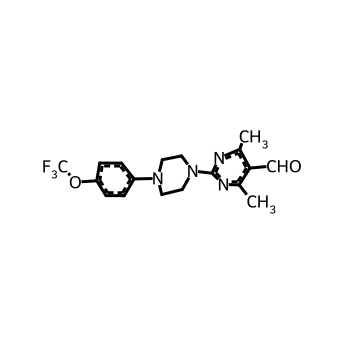 Cc1nc(N2CCN(c3ccc(OC(F)(F)F)cc3)CC2)nc(C)c1C=O